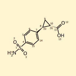 NS(=O)(=O)c1ccc([C@H]2C[C@@H]2C(=O)O)cc1